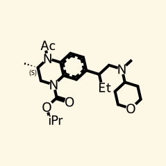 CCC(CN(C)C1CCOCC1)c1ccc2c(c1)N(C(=O)OC(C)C)C[C@H](C)N2C(C)=O